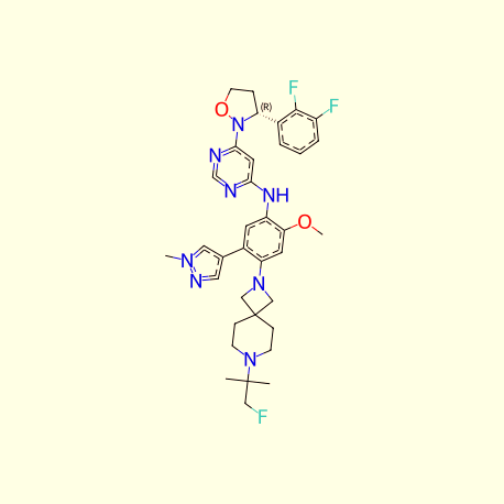 COc1cc(N2CC3(CCN(C(C)(C)CF)CC3)C2)c(-c2cnn(C)c2)cc1Nc1cc(N2OCC[C@@H]2c2cccc(F)c2F)ncn1